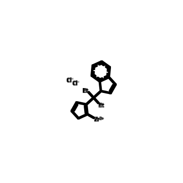 CCC(CC)(C1=[C]([Zr+2])CC=C1)C1C=Cc2ccccc21.[Cl-].[Cl-]